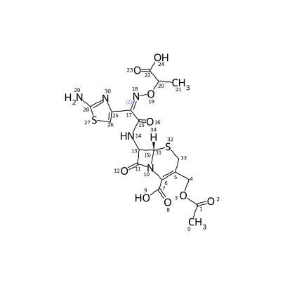 CC(=O)OCC1=C(C(=O)O)N2C(=O)C(NC(=O)/C(=N\OC(C)C(=O)O)c3csc(N)n3)[C@@H]2SC1